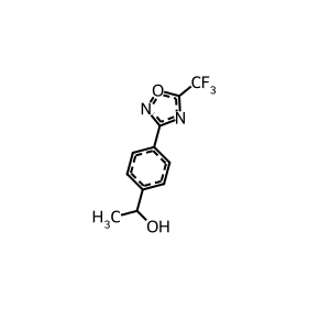 CC(O)c1ccc(-c2noc(C(F)(F)F)n2)cc1